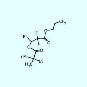 CCCC(C)(CC)C(=O)OC(CC)C(F)(F)C(=O)OCCC(F)(F)F